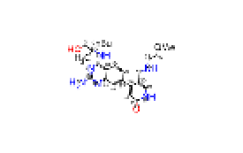 CCCC[C@](C)(CO)Nc1nc(N)nc2cc(-c3cc(=O)[nH]cc3CNCCOC)ccc12